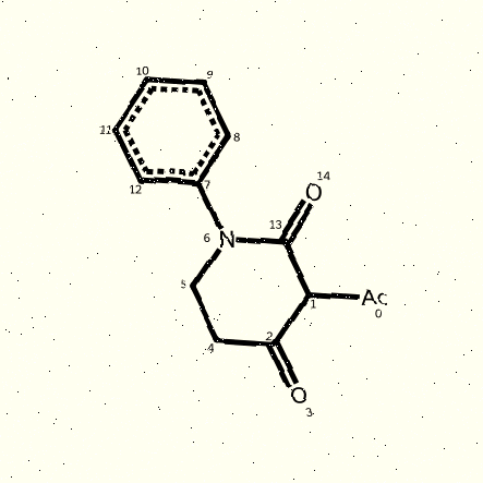 CC(=O)C1C(=O)CCN(c2ccccc2)C1=O